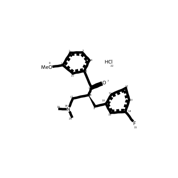 COc1cccc(C(=O)[C@@H](Cc2cccc(F)c2)CN(C)C)c1.Cl